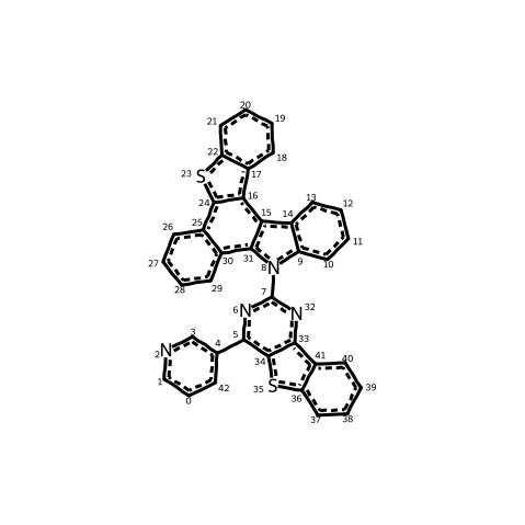 c1cncc(-c2nc(-n3c4ccccc4c4c5c6ccccc6sc5c5ccccc5c43)nc3c2sc2ccccc23)c1